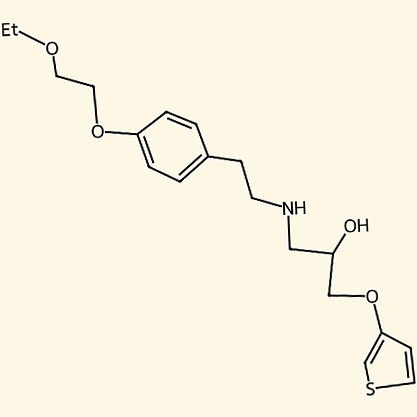 CCOCCOc1ccc(CCNCC(O)COc2ccsc2)cc1